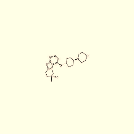 CC(=O)[C@]1(C)CCc2sc3ncnc(O[C@H]4CC[C@H](N5CCOCC5)CC4)c3c2C1